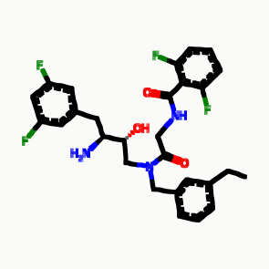 CCc1cccc(CN(C[C@@H](O)[C@@H](N)Cc2cc(F)cc(F)c2)C(=O)CNC(=O)c2c(F)cccc2F)c1